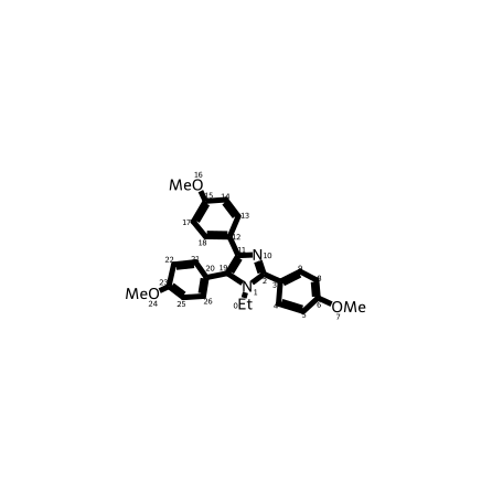 CCn1c(-c2ccc(OC)cc2)nc(-c2ccc(OC)cc2)c1-c1ccc(OC)cc1